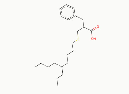 CCCCC(CCC)CCCCSCC(Cc1ccccc1)C(=O)O